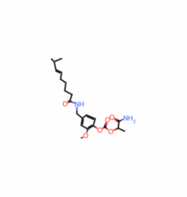 COc1cc(CNC(=O)CCCC/C=C/C(C)C)ccc1OC(=O)OC(C)C(N)=O